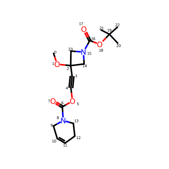 COC1(C#COC(=O)N2CC=CCC2)CN(C(=O)OC(C)(C)C)C1